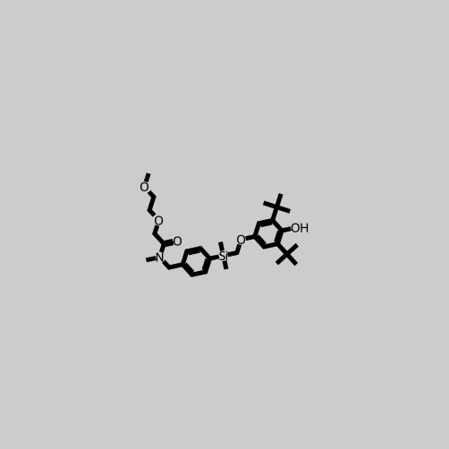 COCCOCC(=O)N(C)Cc1ccc([Si](C)(C)COc2cc(C(C)(C)C)c(O)c(C(C)(C)C)c2)cc1